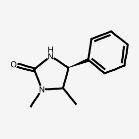 CC1[C@H](c2ccccc2)NC(=O)N1C